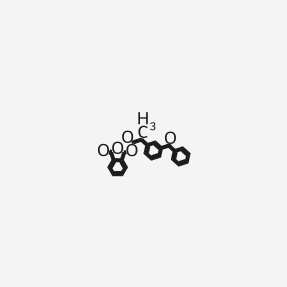 CC(C(=O)OC1OC(=O)c2ccccc21)c1cccc(C(=O)c2ccccc2)c1